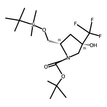 CC(C)(C)OC(=O)N1C[C@](O)(C(F)(F)F)C[C@H]1CO[Si](C)(C)C(C)(C)C